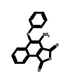 O=C1OC(=O)c2c1c([N+](=O)[O-])c(Sc1ccccc1)c1ccccc21